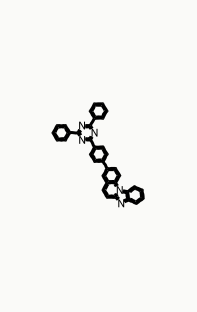 c1ccc(-c2nc(-c3ccccc3)nc(-c3ccc(-c4ccc5c(ccc6nc7ccccc7n65)c4)cc3)n2)cc1